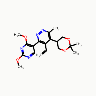 C=Cc1c(-c2cnc(OC)nc2OC)nnc(C)c1C1COC(C)(C)OC1